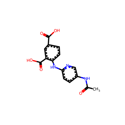 CC(=O)Nc1ccc(Nc2ccc(C(=O)O)cc2C(=O)O)nc1